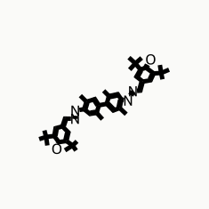 Cc1cc(-c2cc(C)c(/N=N/C=C3C=C(C(C)(C)C)C(=O)C(C(C)(C)C)=C3)cc2C)c(C)cc1/N=N/C=C1C=C(C(C)(C)C)C(=O)C(C(C)(C)C)=C1